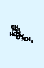 CCCC(=O)C=C(O)CCC